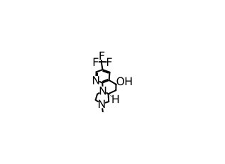 CN1CCN2c3ncc(C(F)(F)F)cc3[C@H](O)C[C@H]2C1